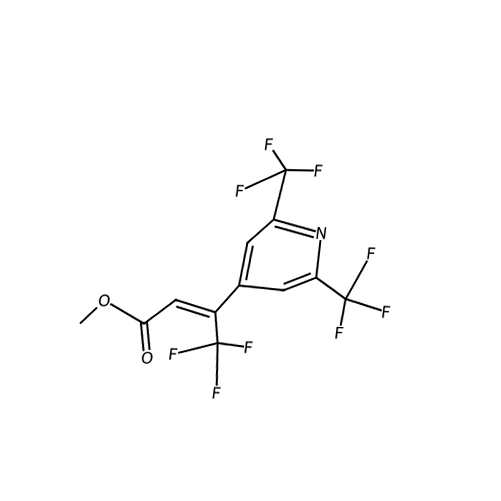 COC(=O)C=C(c1cc(C(F)(F)F)nc(C(F)(F)F)c1)C(F)(F)F